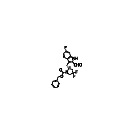 O=Cc1[nH]c2cc(F)ccc2c1C[C@@H]1CC(F)(F)CN1C(=O)OCc1ccccc1